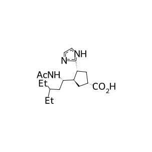 CCC(CC)C[C@H](NC(C)=O)[C@@H]1C[C@@H](C(=O)O)C[C@H]1c1ncc[nH]1